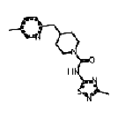 Cc1ccc(CC2CCN(C(=O)Nc3nc(C)ns3)CC2)nc1